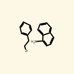 Nc1cccc2ccccc12.[Zr][CH2]Cc1ccccc1